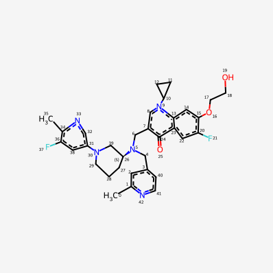 Cc1cc(CN(Cc2cn(C3CC3)c3cc(OCCO)c(F)cc3c2=O)[C@H]2CCCN(c3cnc(C)c(F)c3)C2)ccn1